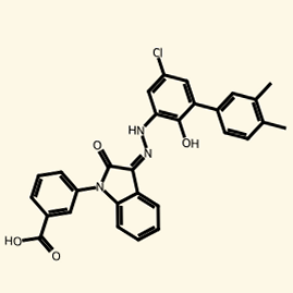 Cc1ccc(-c2cc(Cl)cc(N/N=C3\C(=O)N(c4cccc(C(=O)O)c4)c4ccccc43)c2O)cc1C